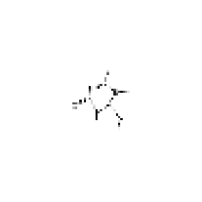 CSC1NC(=O)C=C(C)N1C